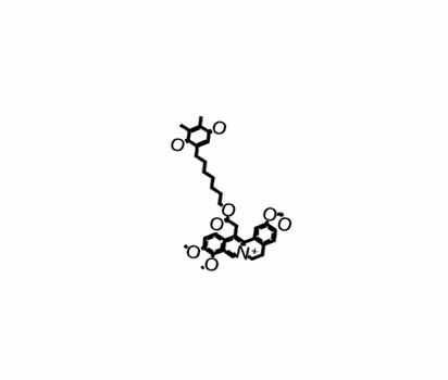 COc1ccc2c(CC(=O)OCCCCCCCC3=CC(=O)C(C)=C(C)C3=O)c3[n+](cc2c1OC)CCc1cc2c(cc1-3)OCO2